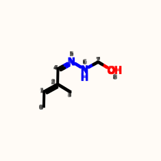 C/C=C(C)/C=N\NCO